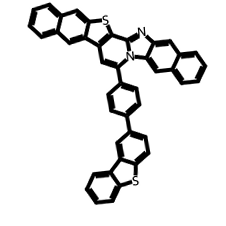 c1ccc2cc3c(cc2c1)nc1c2sc4cc5ccccc5cc4c2cc(-c2ccc(-c4ccc5sc6ccccc6c5c4)cc2)n31